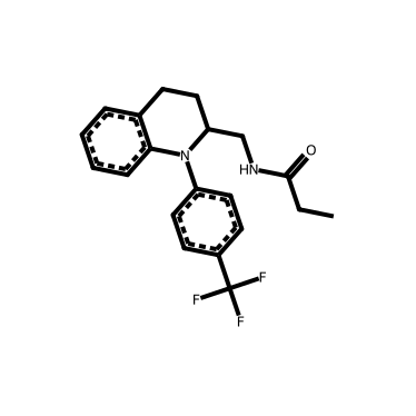 CCC(=O)NCC1CCc2ccccc2N1c1ccc(C(F)(F)F)cc1